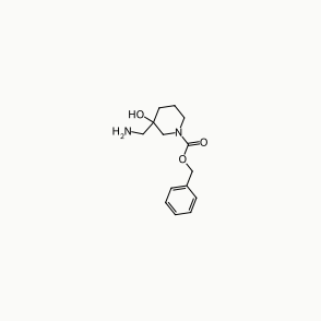 NCC1(O)CCCN(C(=O)OCc2ccccc2)C1